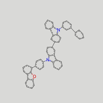 c1ccc(-c2cccc(-n3c4ccccc4c4cc(-c5ccc6c(c5)c5ccccc5n6-c5ccc(-c6cccc7c6oc6ccccc67)cc5)ccc43)c2)cc1